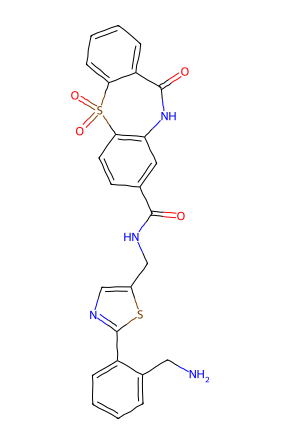 NCc1ccccc1-c1ncc(CNC(=O)c2ccc3c(c2)NC(=O)c2ccccc2S3(=O)=O)s1